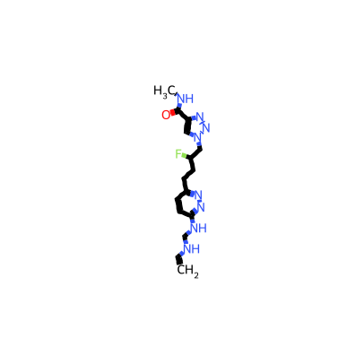 C=CNCNc1ccc(CCC(F)Cn2cc(C(=O)NC)nn2)nn1